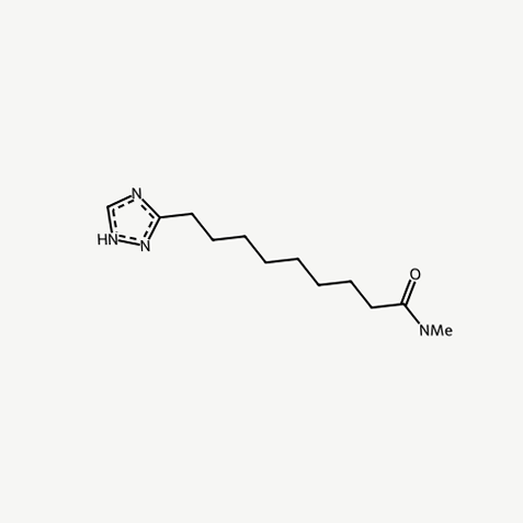 CNC(=O)CCCCCCCCc1nc[nH]n1